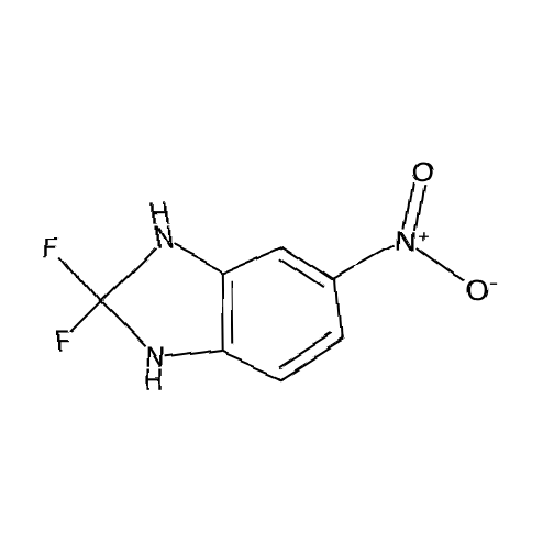 O=[N+]([O-])c1ccc2c(c1)NC(F)(F)N2